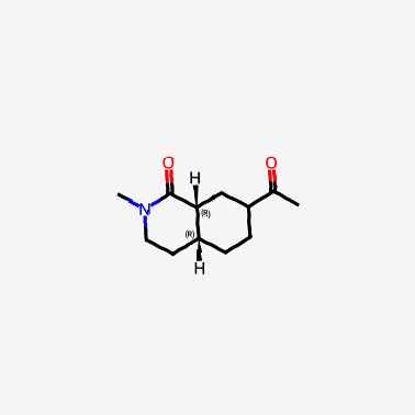 CC(=O)C1CC[C@@H]2CCN(C)C(=O)[C@@H]2C1